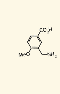 COc1ccc(C(=O)O)cc1CN